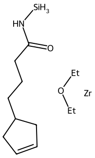 CCOCC.O=C(CCCC1CC=CC1)N[SiH3].[Zr]